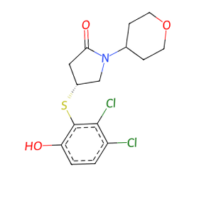 O=C1C[C@@H](Sc2c(O)ccc(Cl)c2Cl)CN1C1CCOCC1